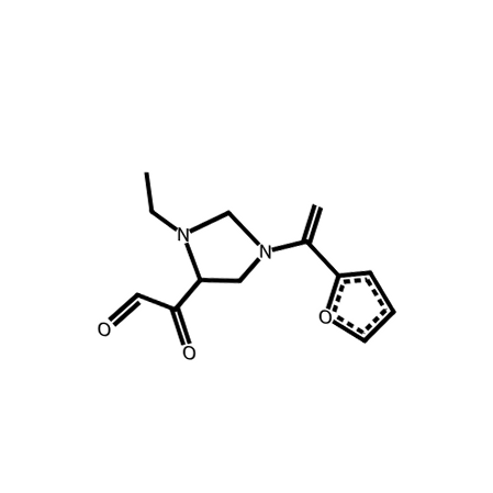 C=C(c1ccco1)N1CC(C(=O)C=O)N(CC)C1